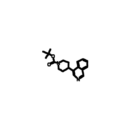 CC(C)(C)OC(=O)N1CCC(c2cncc3ccccc23)CC1